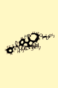 C=C1/C=C\C(OCCOC)=C/CN/C=C\1C(c1cccc(NC(=O)OCc2ccccc2)c1C)C(C)N